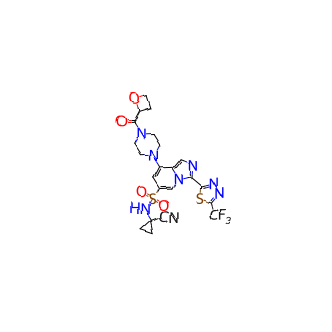 N#CC1(NS(=O)(=O)c2cc(N3CCN(C(=O)C4CCO4)CC3)c3cnc(-c4nnc(C(F)(F)F)s4)n3c2)CC1